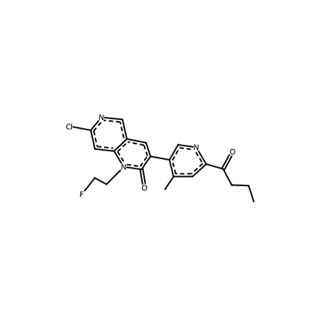 CCCC(=O)c1cc(C)c(-c2cc3cnc(Cl)cc3n(CCF)c2=O)cn1